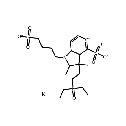 CCP(=O)(CC)CCC1(C)C2C(S(=O)(=O)[O-])=[C+]C=CC2N(CCCCS(=O)(=O)[O-])C1C.[K+]